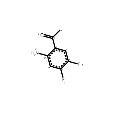 CC(=O)c1cc(F)c(F)cc1N